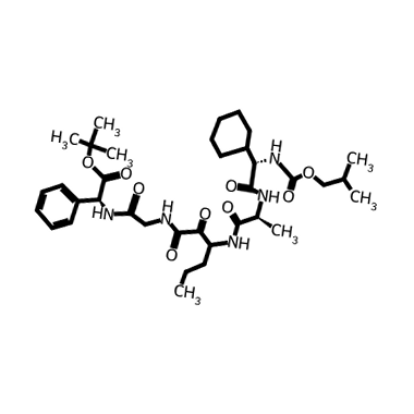 CCCC(NC(=O)[C@H](C)NC(=O)[C@@H](NC(=O)OCC(C)C)C1CCCCC1)C(=O)C(=O)NCC(=O)N[C@H](C(=O)OC(C)(C)C)c1ccccc1